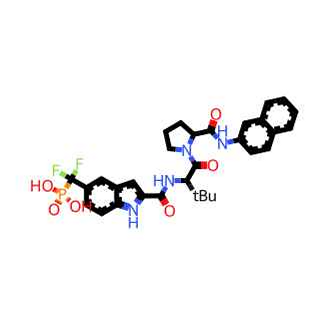 CC(C)(C)C(NC(=O)c1cc2cc(C(F)(F)P(=O)(O)O)ccc2[nH]1)C(=O)N1CCCC1C(=O)Nc1ccc2ccccc2c1